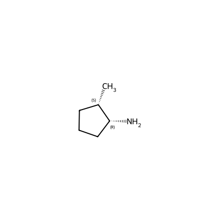 C[C@H]1CCC[C@H]1N